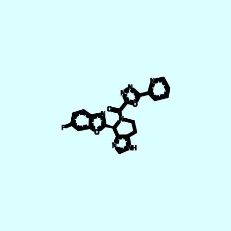 O=C(c1nnc(-c2ccccn2)o1)N1CCc2[nH]cnc2[C@H]1c1nc2ccc(F)cc2o1